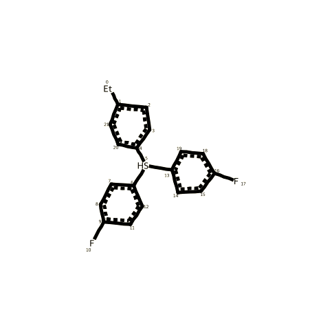 CCc1ccc([SH](c2ccc(F)cc2)c2ccc(F)cc2)cc1